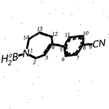 BN1CC=C(c2ccc(C#N)cc2)CCC1